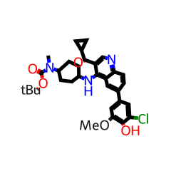 COc1cc(-c2ccc3ncc(C(=O)C4CC4)c(NC4CCC(N(C)C(=O)OC(C)(C)C)CC4)c3c2)cc(Cl)c1O